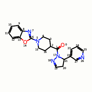 O=C(C1CCN(c2nc3ccccc3o2)CC1)N1N=CCC1c1cccnc1